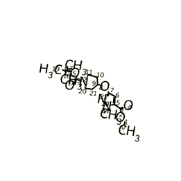 CCOC(=O)c1cc(OC2CCN(C(=O)OC(C)(C)C)CC2)nn1C